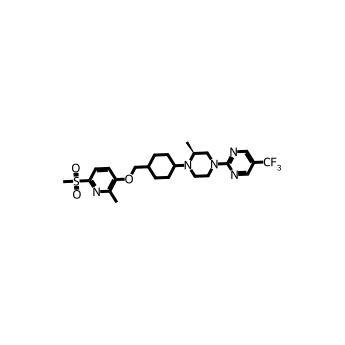 Cc1nc(S(C)(=O)=O)ccc1OCC1CCC(N2CCN(c3ncc(C(F)(F)F)cn3)C[C@@H]2C)CC1